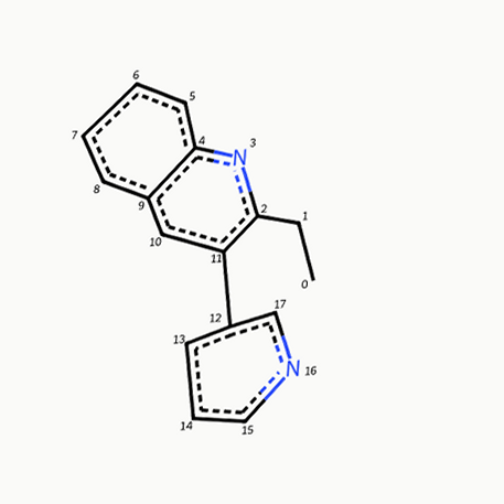 CCc1nc2ccccc2cc1-c1cccnc1